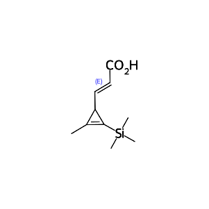 CC1=C([Si](C)(C)C)C1/C=C/C(=O)O